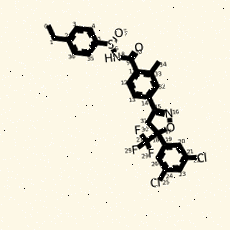 CCc1ccc([S+]([O-])NC(=O)c2ccc(C3=NOC(c4cc(Cl)cc(Cl)c4)(C(F)(F)F)C3)cc2C)cc1